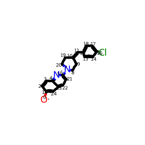 [O]c1ccc2nc(N3CCC(=Cc4ccc(Cl)cc4)CC3)ccc2c1